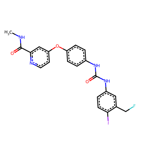 CNC(=O)c1cc(Oc2ccc(NC(=O)Nc3ccc(I)c(CF)c3)cc2)ccn1